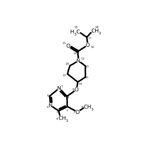 COc1c(C)ncnc1OC1CCN(C(=O)OC(C)C)CC1